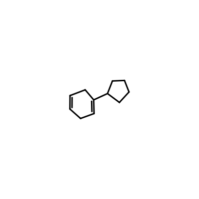 C1=CCC(C2CCCC2)=CC1